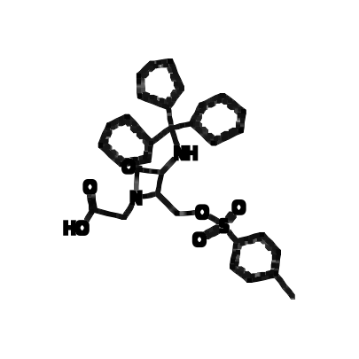 Cc1ccc(S(=O)(=O)OCC2C(NC(c3ccccc3)(c3ccccc3)c3ccccc3)C(=O)N2CC(=O)O)cc1